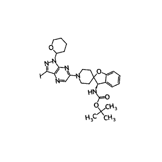 CC(C)(C)OC(=O)N[C@@H]1c2ccccc2OC12CCN(c1cnc3c(I)nn(C4CCCCO4)c3n1)CC2